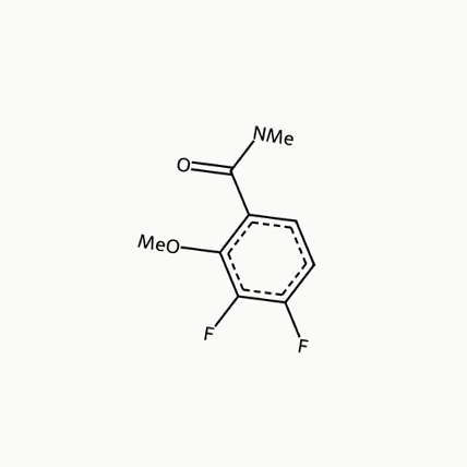 CNC(=O)c1ccc(F)c(F)c1OC